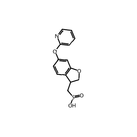 O=S(O)CC1COc2cc(Oc3ccccn3)ccc21